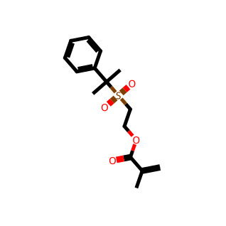 C=C(C)C(=O)OCCS(=O)(=O)C(C)(C)c1ccccc1